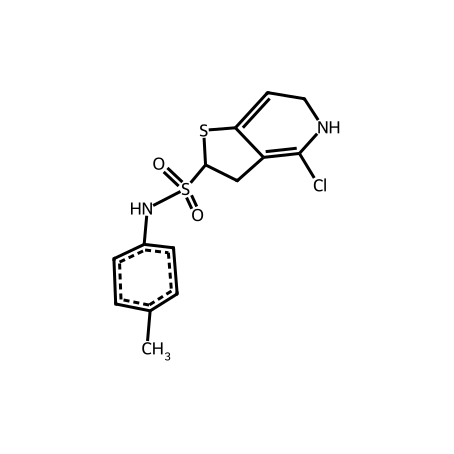 Cc1ccc(NS(=O)(=O)C2CC3=C(Cl)NCC=C3S2)cc1